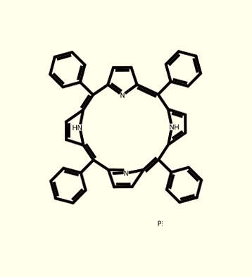 C1=Cc2nc1c(-c1ccccc1)c1ccc([nH]1)c(-c1ccccc1)c1nc(c(-c3ccccc3)c3ccc([nH]3)c2-c2ccccc2)C=C1.[P]